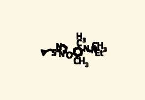 CCN(C)/C=N/c1cc(C)c(Oc2ccnc(SCC3CC3)n2)cc1C